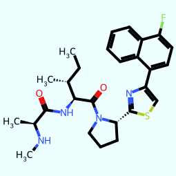 CC[C@@H](C)[C@H](NC(=O)[C@H](C)NC)C(=O)N1CCC[C@H]1c1nc(-c2ccc(F)c3ccccc23)cs1